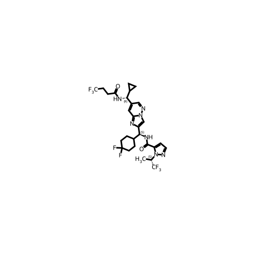 C[C@H](n1nccc1C(=O)N[C@H](c1cn2ncc([C@H](NC(=O)CCC(F)(F)F)C3CC3)cc2n1)C1CCC(F)(F)CC1)C(F)(F)F